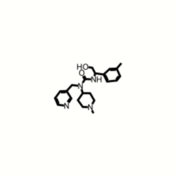 Cc1cccc(C(CO)NC(=O)N(Cc2cccnc2)C2CCN(C)CC2)c1